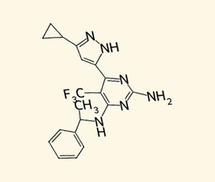 CC(Nc1nc(N)nc(-c2cc(C3CC3)n[nH]2)c1C(F)(F)F)c1ccccc1